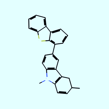 CC1C=Cc2c(c3cc(-c4cccc5c4sc4ccccc45)ccc3n2C)C1